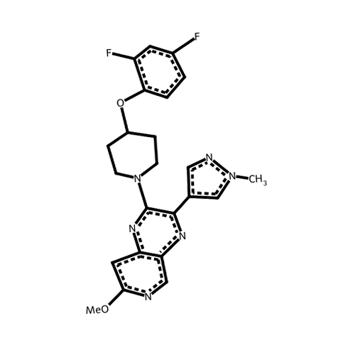 COc1cc2nc(N3CCC(Oc4ccc(F)cc4F)CC3)c(-c3cnn(C)c3)nc2cn1